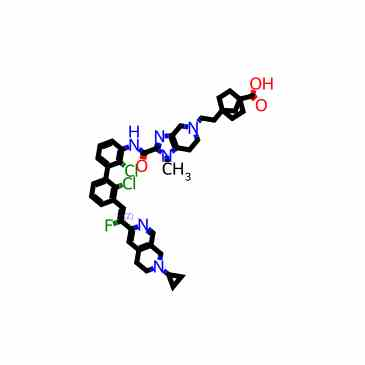 Cn1c(C(=O)Nc2cccc(-c3cccc(/C=C(\F)c4cc5c(cn4)CN(C4CC4)CC5)c3Cl)c2Cl)nc2c1CCN(CCC13CCC(C(=O)O)(CC1)C3)C2